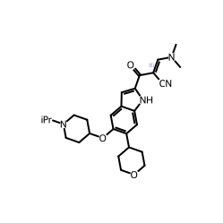 CC(C)N1CCC(Oc2cc3cc(C(=O)/C(C#N)=C/N(C)C)[nH]c3cc2C2CCOCC2)CC1